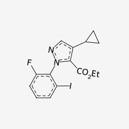 CCOC(=O)c1c(C2CC2)cnn1-c1c(F)cccc1I